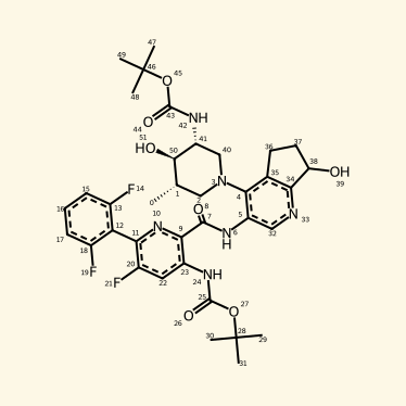 C[C@H]1CN(c2c(NC(=O)c3nc(-c4c(F)cccc4F)c(F)cc3NC(=O)OC(C)(C)C)cnc3c2CCC3O)C[C@@H](NC(=O)OC(C)(C)C)[C@@H]1O